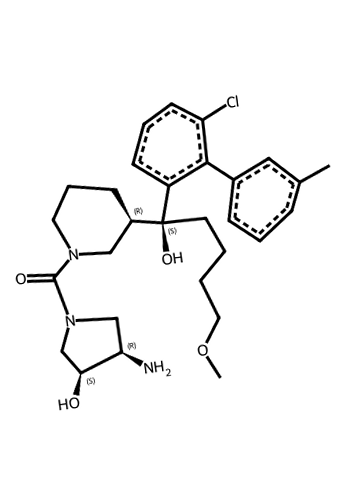 COCCCC[C@@](O)(c1cccc(Cl)c1-c1cccc(C)c1)[C@@H]1CCCN(C(=O)N2C[C@@H](N)[C@@H](O)C2)C1